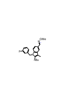 CCCCc1c(C)c2cc(/C=N/OC)ccc2n1Cc1cccc(F)c1